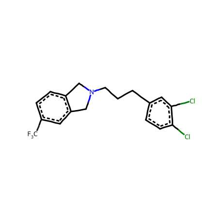 FC(F)(F)c1ccc2c(c1)CN(CCCc1ccc(Cl)c(Cl)c1)C2